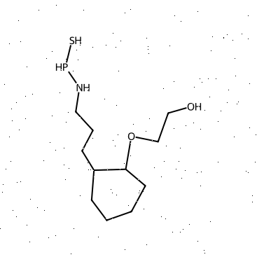 OCCOC1CCCCC1CCCNPS